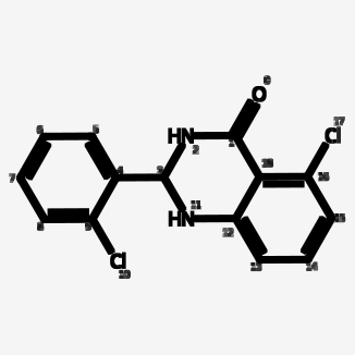 O=C1NC(c2ccccc2Cl)Nc2cccc(Cl)c21